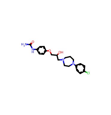 NC(=O)Nc1ccc(OCC(O)CN2CCCN(c3ccc(Cl)cc3)CC2)cc1